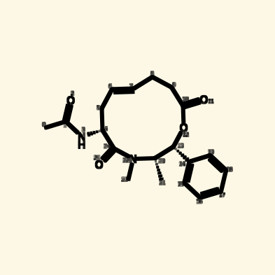 CC(=O)N[C@@H]1C/C=C/CCC(=O)O[C@H](c2ccccc2)[C@H](C)N(C)C1=O